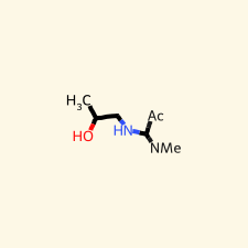 CNC(NCC(C)O)C(C)=O